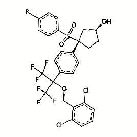 O=S(=O)(c1ccc(F)cc1)[C@@]1(c2ccc(C(OCc3c(Cl)cccc3Cl)(C(F)(F)F)C(F)(F)F)cc2)CC[C@H](O)C1